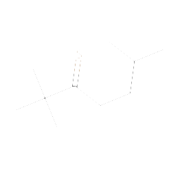 CC(C)C[C@H](C)C(=S)C(C)(C)C